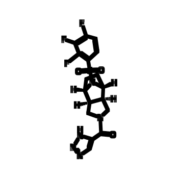 O=C(c1cnn[nH]1)N1C[C@@H]2[C@H](C1)[C@H]1CC[C@@H]2N1S(=O)(=O)c1ccc(F)c(F)c1F